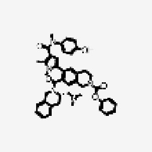 Cc1c(C(=O)N(C)c2ccc(O)cc2)cc(-c2cc3c(cc2C(=O)N2Cc4ccccc4C[C@H]2CN(C)C)CN(C(=O)Oc2ccccc2)CC3)n1C